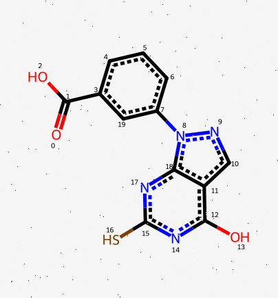 O=C(O)c1cccc(-n2ncc3c(O)nc(S)nc32)c1